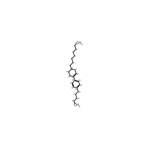 CCCCCCCCC1CC=C(c2ccc(CCCCC)cc2)CC1